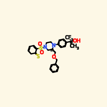 C[C@](O)(c1ccc(N2CCN(S(=O)(=O)C3=CC=CCC3=S)C[C@@H]2COCc2ccccc2)cc1)C(F)(F)F